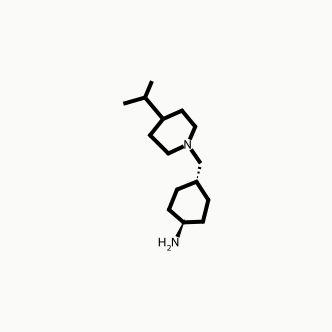 CC(C)C1CCN(C[C@H]2CC[C@H](N)CC2)CC1